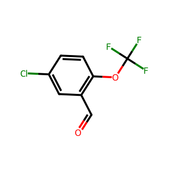 O=Cc1cc(Cl)ccc1OC(F)(F)F